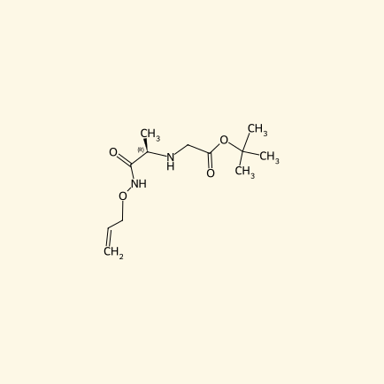 C=CCONC(=O)[C@@H](C)NCC(=O)OC(C)(C)C